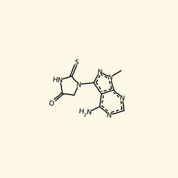 Cn1nc(N2CC(=O)NC2=S)c2c(N)ncnc21